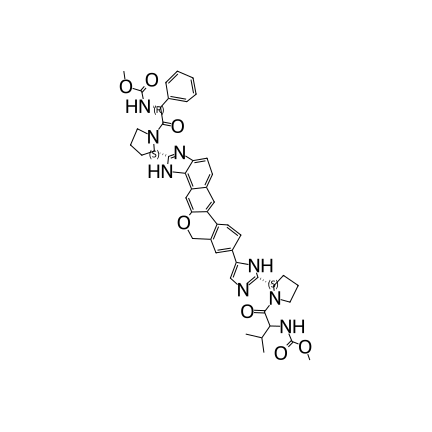 COC(=O)NC(C(=O)N1CCC[C@H]1c1ncc(-c2ccc3c(c2)COc2cc4c(ccc5nc([C@@H]6CCCN6C(=O)[C@H](NC(=O)OC)c6ccccc6)[nH]c54)cc2-3)[nH]1)C(C)C